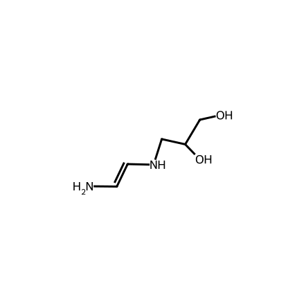 NC=CNCC(O)CO